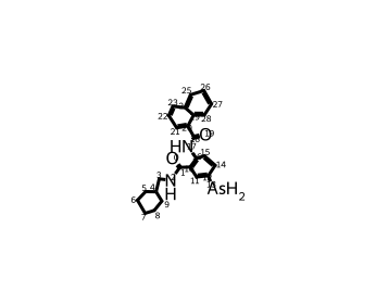 O=C(NCC1CCCCC1)c1cc([AsH2])ccc1NC(=O)c1cccc2ccccc12